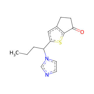 CCCC(c1cc2c(s1)C(=O)CC2)n1ccnc1